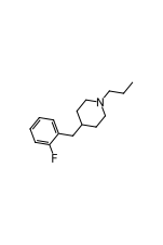 CCCN1CCC(Cc2ccccc2F)CC1